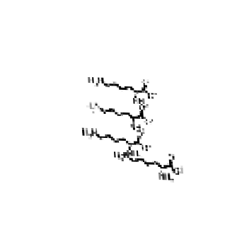 Cl.NCCCC[C@H](N)C(=O)[O-].NCCCC[C@H](N)C(=O)[O-].NCCCC[C@H](N)C(=O)[O-].NCCCC[C@H](N)C(=O)[O-].[C+4]